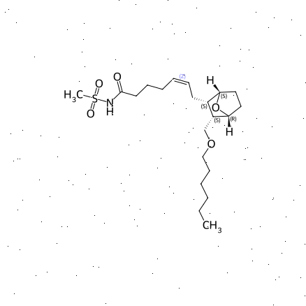 CCCCCCOC[C@@H]1[C@H](C/C=C\CCCC(=O)NS(C)(=O)=O)[C@@H]2CC[C@H]1O2